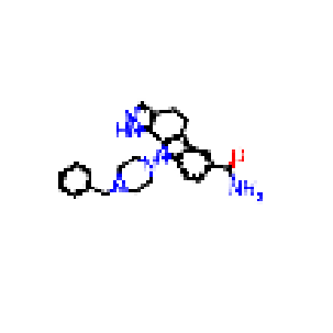 NC(=O)c1ccc2c(c1)c1c(n2N2CCN(Cc3ccccc3)CC2)-c2[nH]ncc2CC1